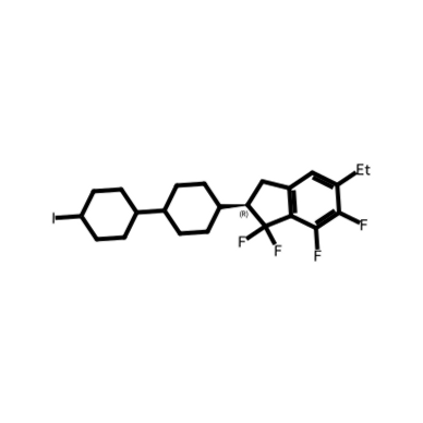 CCc1cc2c(c(F)c1F)C(F)(F)[C@@H](C1CCC(C3CCC(I)CC3)CC1)C2